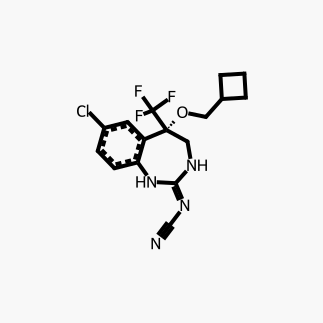 N#C/N=C1/NC[C@](OCC2CCC2)(C(F)(F)F)c2cc(Cl)ccc2N1